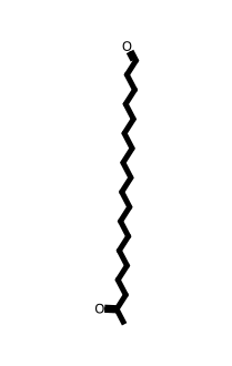 CC(=O)CCCCCCCCCCCCCCCCC=O